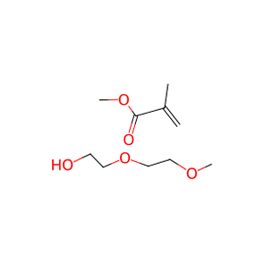 C=C(C)C(=O)OC.COCCOCCO